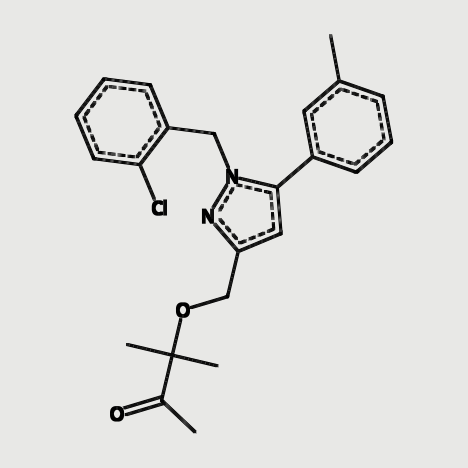 CC(=O)C(C)(C)OCc1cc(-c2cccc(C)c2)n(Cc2ccccc2Cl)n1